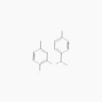 CCc1ccc(C)cc1OC(C)c1ccc(O)cc1